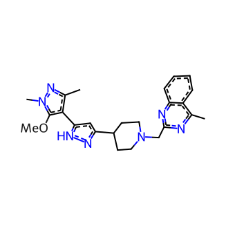 COc1c(-c2cc(C3CCN(Cc4nc(C)c5ccccc5n4)CC3)n[nH]2)c(C)nn1C